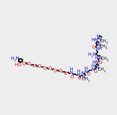 Cn1cc(NC(=O)c2nc(C(N)CCNC(=O)c3cc(Nc4nccn4C)cn3C)cn2C)cc1C(=O)NCCC(=O)Nc1cn(C)c(C(=O)NCCC(=O)NCCOCCOCCOCCOCCOCCOCCOCCOCCOc2ccc(N)cc2O)n1